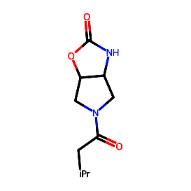 CC(C)CC(=O)N1CC2NC(=O)OC2C1